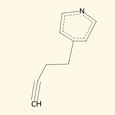 C#CCCc1ccncc1